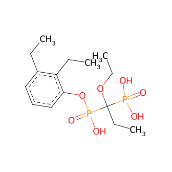 CCOC(CC)(P(=O)(O)O)P(=O)(O)Oc1cccc(CC)c1CC